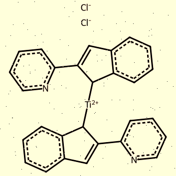 C1=C(c2ccccn2)[CH]([Ti+2][CH]2C(c3ccccn3)=Cc3ccccc32)c2ccccc21.[Cl-].[Cl-]